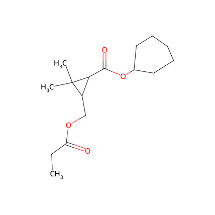 CCC(=O)OCC1C(C(=O)OC2CCCCC2)C1(C)C